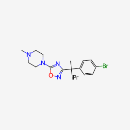 CC(C)C(C)(c1ccc(Br)cc1)c1noc(N2CCN(C)CC2)n1